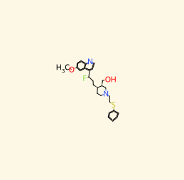 COc1ccc2nccc(C(F)CC[C@@H]3CCN(CCSc4ccccc4)C[C@@H]3CO)c2c1